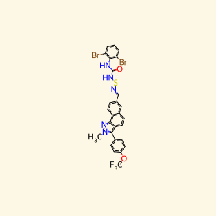 Cn1nc2c(ccc3cc(/C=N/SNC(=O)Nc4c(Br)cccc4Br)ccc32)c1-c1ccc(OC(F)(F)F)cc1